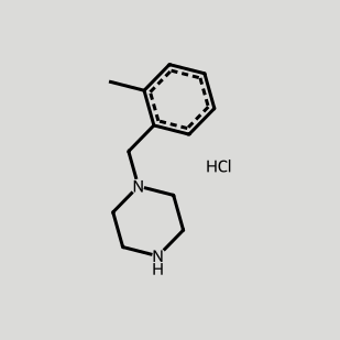 Cc1ccccc1CN1CCNCC1.Cl